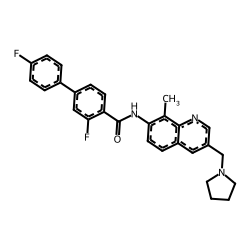 Cc1c(NC(=O)c2ccc(-c3ccc(F)cc3)cc2F)ccc2cc(CN3CCCC3)cnc12